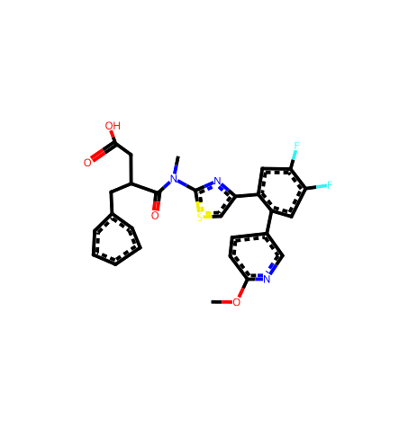 COc1ccc(-c2cc(F)c(F)cc2-c2csc(N(C)C(=O)C(CC(=O)O)Cc3ccccc3)n2)cn1